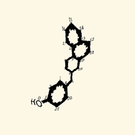 Oc1ccc(CC2C=Cc3c(ccc4ccccc34)C2)cc1